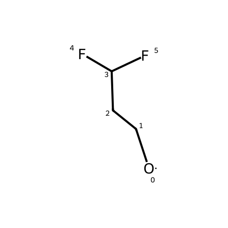 [O]CCC(F)F